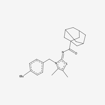 Cc1sc(=NC(=O)C23CC4CC(CC(C4)C2)C3)n(Cc2ccc(C(C)(C)C)cc2)c1C